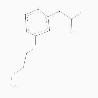 CSSCCOc1cccc(CC(C)N)c1